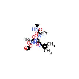 CCC[C@H](NC(=O)[C@@H]1C[C@]2(CC(c3cc(C)cc(C)c3)=NO2)CN1C(=O)[C@@H](NC(=O)O[C@H]1CCOC1)C(C)(C)C)C(=O)C(=O)NC1CC1